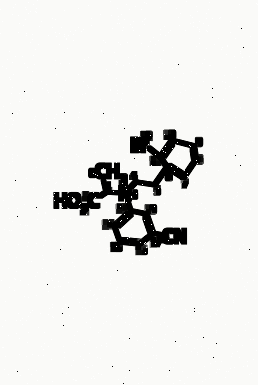 CC(C(=O)O)N(CCc1ccccc1Br)c1cccc(C#N)c1